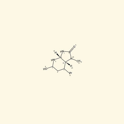 CC(C)C1CC(O)N[C@@H]2NC(=O)N(C)[C@H]12